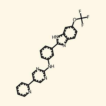 FC(F)(F)Oc1ccc2nc(-c3cccc(Nc4ncc(-c5ccccn5)cn4)c3)[nH]c2c1